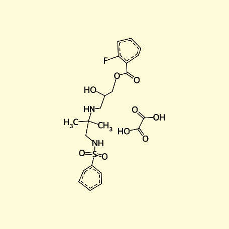 CC(C)(CNS(=O)(=O)c1ccccc1)NCC(O)COC(=O)c1ccccc1F.O=C(O)C(=O)O